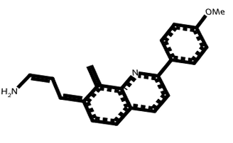 C=c1/c(=C\C=C/N)ccc2ccc(-c3ccc(OC)cc3)nc12